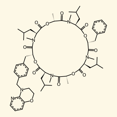 CC(C)C[C@H]1C(=O)O[C@H](Cc2ccc(CN3CCOc4cccnc43)cc2)C(=O)N(C)[C@@H](CC(C)C)C(=O)O[C@H](C)C(=O)N(C)[C@@H](CC(C)C)C(=O)O[C@H](Cc2ccccc2)C(=O)N(C)[C@@H](CC(C)C)C(=O)O[C@H](C)C(=O)N1C